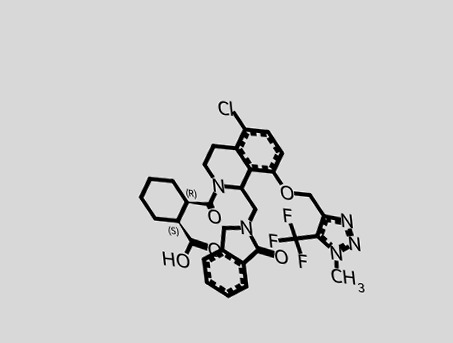 Cn1nnc(COc2ccc(Cl)c3c2C(CN2Cc4ccccc4C2=O)N(C(=O)[C@@H]2CCCC[C@@H]2C(=O)O)CC3)c1C(F)(F)F